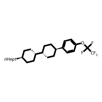 CCCCCCC[C@H]1CC[C@H]([C@H]2CC[C@H](c3ccc(OC(F)(F)C(F)(F)F)cc3)CC2)CC1